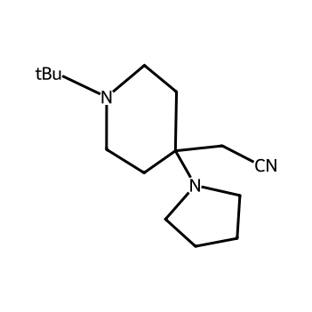 CC(C)(C)N1CCC(CC#N)(N2CCCC2)CC1